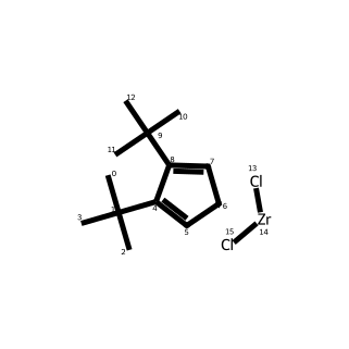 CC(C)(C)C1=C[CH]C=C1C(C)(C)C.[Cl][Zr][Cl]